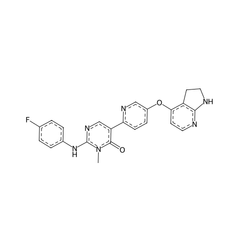 Cn1c(Nc2ccc(F)cc2)ncc(-c2ccc(Oc3ccnc4c3CCN4)cn2)c1=O